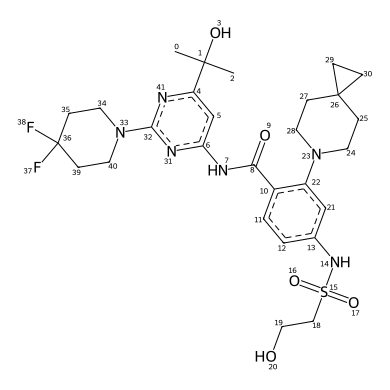 CC(C)(O)c1cc(NC(=O)c2ccc(NS(=O)(=O)CCO)cc2N2CCC3(CC2)CC3)nc(N2CCC(F)(F)CC2)n1